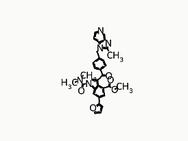 COC(=O)c1cc(-c2ccco2)cc2c1c(C(=O)c1ccc(Cn3c(C)nc4cnccc43)cc1)cn2C(=O)N(C)C